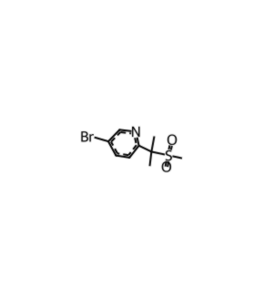 CC(C)(c1ccc(Br)cn1)S(C)(=O)=O